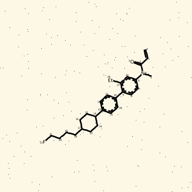 C=CC(=O)N(C)c1ccc(-c2ccc(C3CCC(CCCCF)CC3)cc2)c(CC)c1